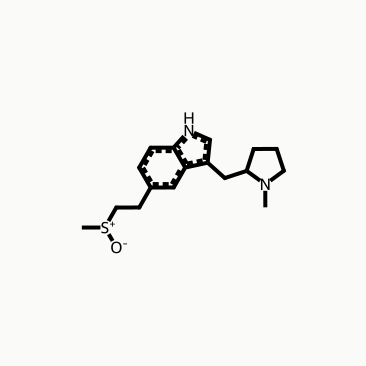 CN1CCCC1Cc1c[nH]c2ccc(CC[S+](C)[O-])cc12